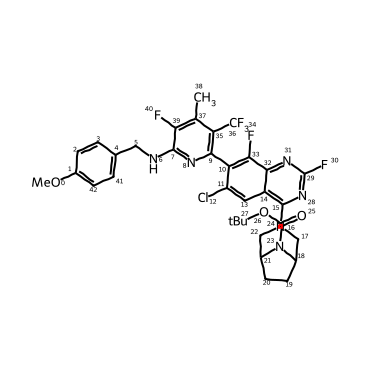 COc1ccc(CNc2nc(-c3c(Cl)cc4c(N5CC6CCC(C5)N6C(=O)OC(C)(C)C)nc(F)nc4c3F)c(C(F)(F)F)c(C)c2F)cc1